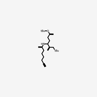 C#CCCCCC(=C)NC(CCC(=C)OC(C)(C)C)C(=C)CC(C)(C)C